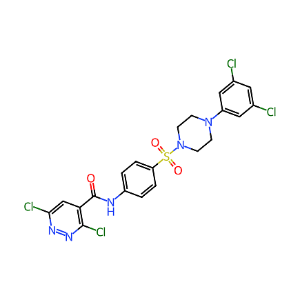 O=C(Nc1ccc(S(=O)(=O)N2CCN(c3cc(Cl)cc(Cl)c3)CC2)cc1)c1cc(Cl)nnc1Cl